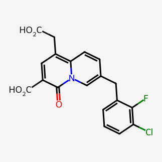 O=C(O)Cc1cc(C(=O)O)c(=O)n2cc(Cc3cccc(Cl)c3F)ccc12